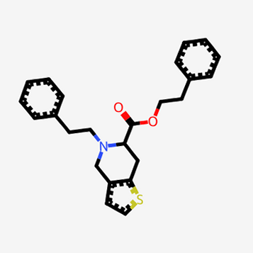 O=C(OCCc1ccccc1)C1Cc2sccc2CN1CCc1ccccc1